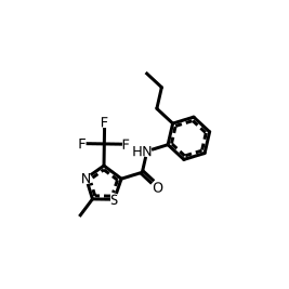 CCCc1ccccc1NC(=O)c1sc(C)nc1C(F)(F)F